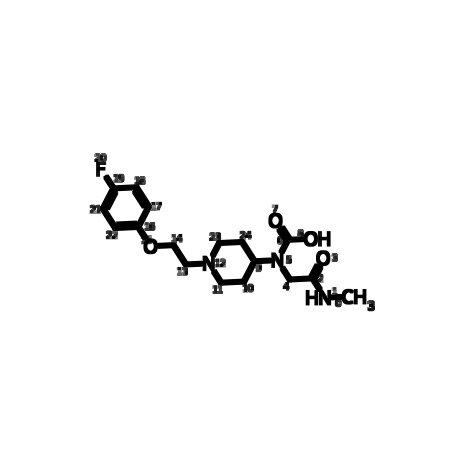 CNC(=O)CN(C(=O)O)C1CCN(CCOc2ccc(F)cc2)CC1